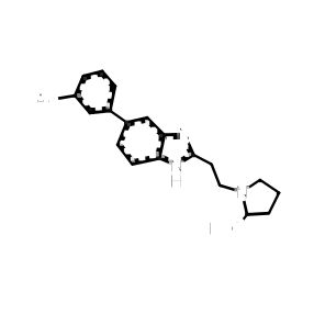 CC(=O)c1cccc(-c2ccc3[nH]c(CCN4CCCC4C)nc3c2)c1